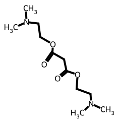 CN(C)CCOC(=O)CC(=O)OCCN(C)C